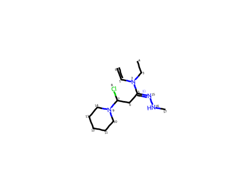 C=CN(CC)/C(CC(Cl)N1CCCCC1)=N/NC